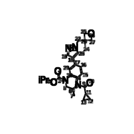 CC(C)OC(=O)N1C[C@H](C)N(C(=O)C2CC2)c2ccc(-c3cnn(CC4(C)COC4)c3)cc21